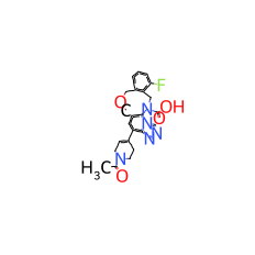 CC(=O)N1CC=C(c2cc3c(n4cnnc24)N(C(=O)O)Cc2c(F)cccc2COC3)CC1